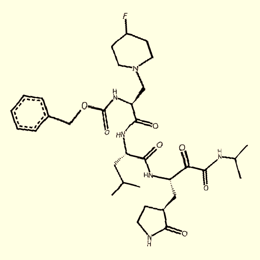 CC(C)C[C@H](NC(=O)[C@H](CN1CCC(F)CC1)NC(=O)OCc1ccccc1)C(=O)N[C@@H](C[C@@H]1CCNC1=O)C(=O)C(=O)NC(C)C